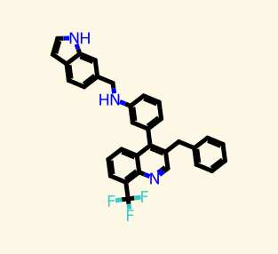 FC(F)(F)c1cccc2c(-c3cccc(NCc4ccc5cc[nH]c5c4)c3)c(Cc3ccccc3)cnc12